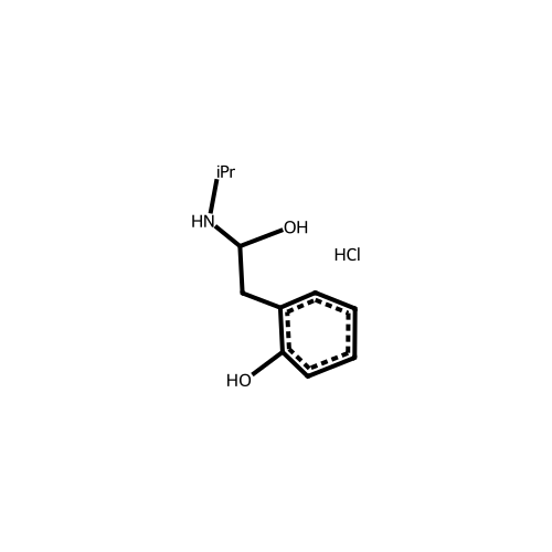 CC(C)NC(O)Cc1ccccc1O.Cl